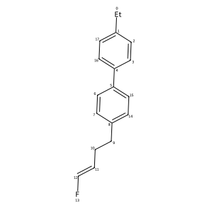 CCc1ccc(-c2ccc(CCC=CF)cc2)cc1